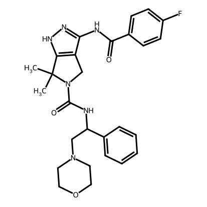 CC1(C)c2[nH]nc(NC(=O)c3ccc(F)cc3)c2CN1C(=O)NC(CN1CCOCC1)c1ccccc1